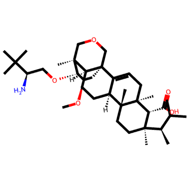 CO[C@@H]1C[C@@]23COC[C@@](C)([C@@H]2CC[C@H]2C3=CC[C@@]3(C)[C@H](C(=O)O)[C@@](C)([C@H](C)C(C)C)CC[C@]23C)[C@H]1OC[C@@H](N)C(C)(C)C